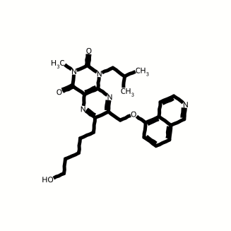 CC(C)Cn1c(=O)n(C)c(=O)c2nc(CCCCCO)c(COc3cccc4cnccc34)nc21